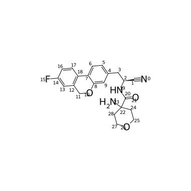 N#C[C@H](Cc1ccc2c(c1)OCc1cc(F)ccc1-2)NC(=O)C1(N)CCOCC1